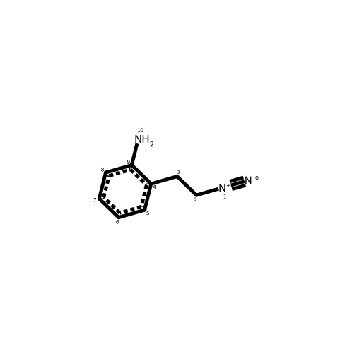 N#[N+]CCc1ccccc1N